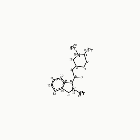 CC(C)C1CCC(CC(C)C2c3ccccc3CN2C(C)C)CN1C(C)C